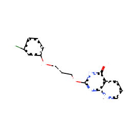 O=c1[nH]c(OCCCOc2cccc(Cl)c2)nc2ncccc12